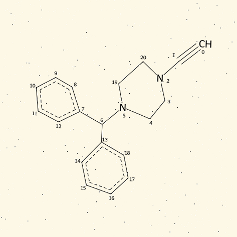 C#CN1CCN(C(c2ccccc2)c2ccccc2)CC1